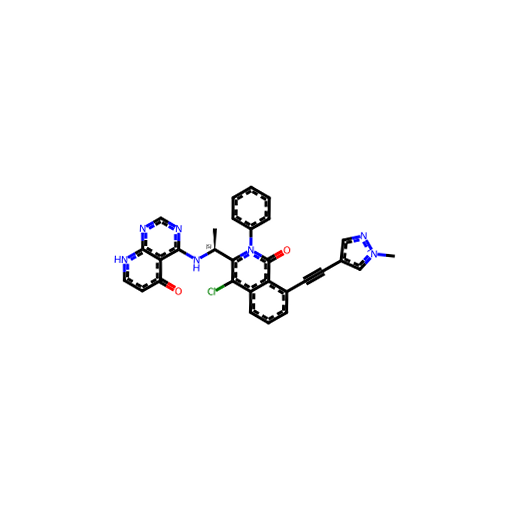 C[C@H](Nc1ncnc2[nH]ccc(=O)c12)c1c(Cl)c2cccc(C#Cc3cnn(C)c3)c2c(=O)n1-c1ccccc1